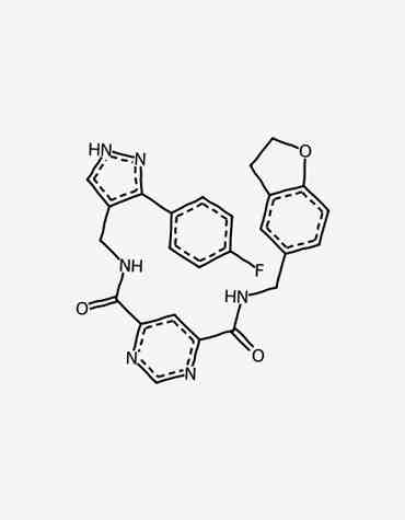 O=C(NCc1ccc2c(c1)CCO2)c1cc(C(=O)NCc2c[nH]nc2-c2ccc(F)cc2)ncn1